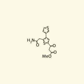 COC(=O)CC(=O)c1cc(-c2ccsc2)c(CC(N)=O)s1